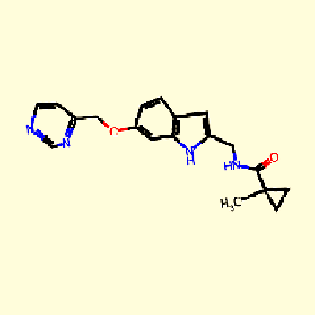 CC1(C(=O)NCc2cc3ccc(OCc4ccncn4)cc3[nH]2)CC1